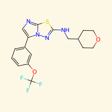 FC(F)(F)Oc1cccc(-c2cnc3sc(NCC4CCOCC4)nn23)c1